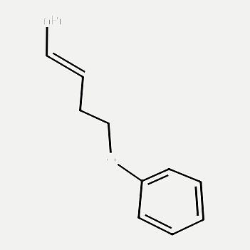 CCCC=CCCOc1c[c]ccc1